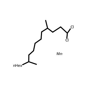 CCCCCCC(C)CCCCCC(C)CCC(Cl)Cl.[Mn]